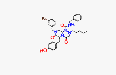 CCCCCN1CC(=O)N2C(Cc3ccc(O)cc3)C(=O)N(Cc3cccc(Br)c3)CC2N1C(=O)NCc1ccccc1